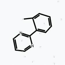 [CH2]c1ccccc1-c1ncccn1